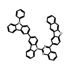 c1ccc(-n2c3ccccc3c3cc(-c4ccc5c(c4)c4ccccc4n5-c4nc(-c5ccc6oc7cc8ccccc8cc7c6c5)c5ccccc5n4)ccc32)cc1